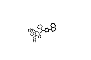 O=C(O)C(=O)N(CCCN1CCCC1=O)CC(c1ccc(-c2cccc3ccccc23)cc1)C1CCCCC1